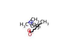 CCCCCCCCC(=O)[O-].CC[N+](CC)(CC)CC